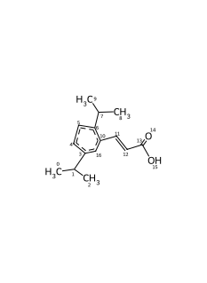 CC(C)c1ccc(C(C)C)c(/C=C/C(=O)O)c1